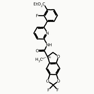 CCOC(=O)c1cccc(-c2cccc(NC(=O)[C@@]3(C)COc4cc5c(cc43)OC(F)(F)O5)n2)c1F